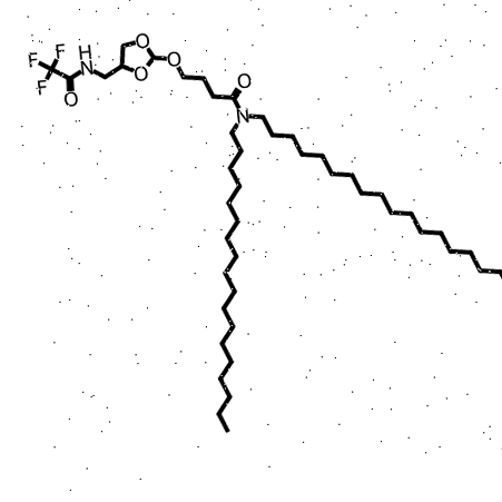 CCCCCCCCCCCCCCCCCCN(CCCCCCCCCCCCCCCCCC)C(=O)CCCOC1OCC(CNC(=O)C(F)(F)F)O1